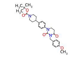 COc1ccc(CN2C(=O)CCN(c3ccc(C4CCN(C(=O)OC(C)(C)C)CC4)cc3)C2=O)cc1